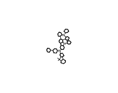 CC1(C)c2ccccc2-c2ccc(N(c3ccc(-c4ccccc4)cc3)c3ccc4c(c3)c3ccc5c(c3n4-c3ccccc3)-c3ccccc3N(c3ccccc3)c3ccccc3-5)cc21